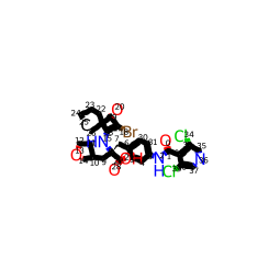 O=C(Nc1ccc(C[C@](CC2CCOC2)(NC2=C(Br)C(=O)C23CCCCC3)C(=O)O)cc1)c1c(Cl)cncc1Cl